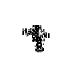 CC(C)[Si](OC[C@H]1[C@@H](CO)[C@@H]2O[C@H]1c1cc3c(cc12)OCO3)(C(C)C)C(C)C